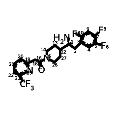 N[C@H](Cc1cc(F)c(F)cc1F)C1CCN(C(=O)Cc2cccc(C(F)(F)F)n2)CC1